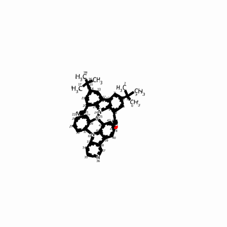 CC(C)(C)c1cc(C#N)c2c(c1)c1cc(C(C)(C)C)cc(C#N)c1n2B1c2ccccc2-n2c3ccncc3c3cccc1c32